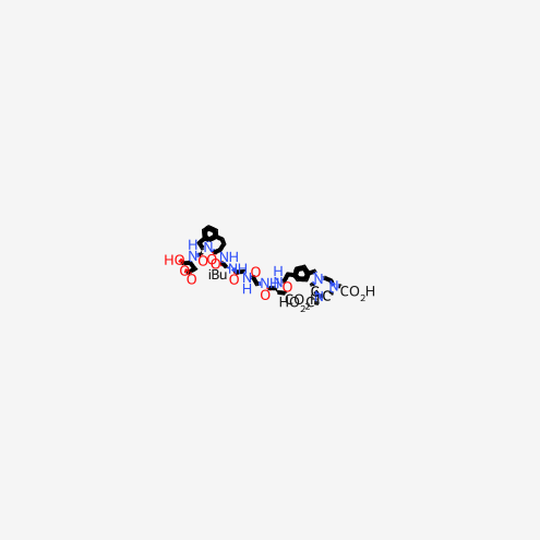 CC[C@H](C)[C@H](NC(=O)CNC(=O)CNC(=O)[C@H](CCC(=O)O)NC(=O)Cc1ccc(CN2CCN(CC(=O)O)CCN(CC(=O)O)CC2)cc1)C(=O)N[C@H]1CCc2cccc3c2N(C1=O)[C@H](C(=O)NC1CC(=O)OC1O)C3